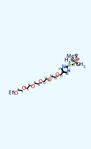 CCOCCOCCOCCOCCOCCOCc1cnc(SC[Si](C)(C)OSC)nc1